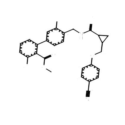 COC(=O)c1c(F)cccc1-c1ccc(CNC(=O)C2CC2COc2ccc(C#N)cc2)c(F)c1